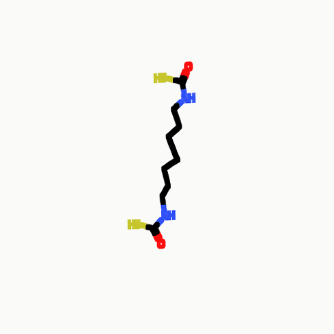 O=C(S)NCCCCCCCNC(=O)S